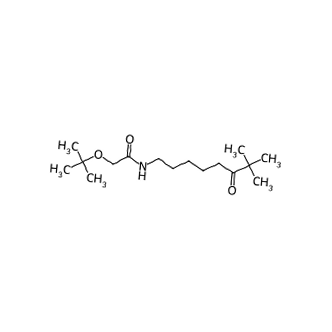 CC(C)(C)OCC(=O)NCCCCCC(=O)C(C)(C)C